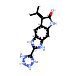 CC(C)=C1C(=O)Nc2cc3[nH]c(-c4nnn[nH]4)nc3cc21